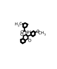 COc1ccc(C2=C(NC(=O)c3cccc(C)c3)C(=O)c3ccccc3C2=O)cc1